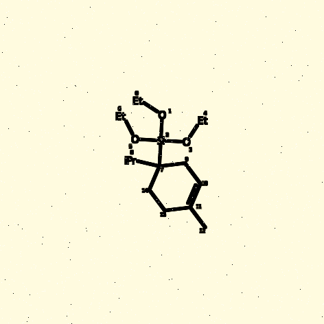 CCO[Si](OCC)(OCC)C1(C(C)C)CC=C(C)CC1